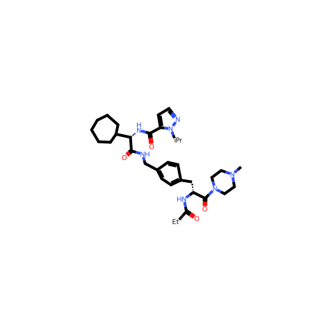 CCC(=O)N[C@H](Cc1ccc(CNC(=O)[C@@H](NC(=O)c2ccnn2C(C)C)C2CCCCCC2)cc1)C(=O)N1CCN(C)CC1